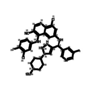 Cc1cncc([C@H](Nc2cc(Cl)c3ncc(C#N)c(Nc4ccc(F)c(Cl)c4)c3c2)C2=CN(C3CCN(C(C)(C)C)CC3)NN2)c1